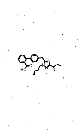 C=CCCn1nc(C(C)CC)nc1Cc1ccc(-c2ccccc2C(=O)O)cc1